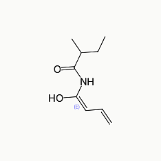 C=C/C=C(/O)NC(=O)C(C)CC